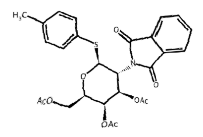 CC(=O)OC[C@H]1O[C@@H](Sc2ccc(C)cc2)[C@H](N2C(=O)c3ccccc3C2=O)[C@@H](OC(C)=O)[C@H]1OC(C)=O